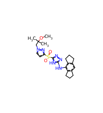 COC(C)(C)Cn1ccc(S(=O)(=O)c2nnc(Nc3c4c(cc5c3CCC5)CCC4)[nH]2)n1